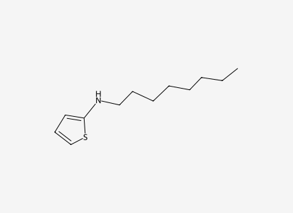 CCCCCCCCNc1cccs1